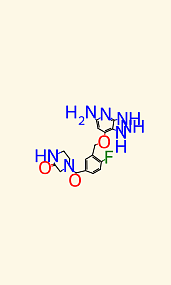 Nc1cc(OCc2cc(C(=O)N3CCNC(=O)C3)ccc2F)c2c(n1)NNN2